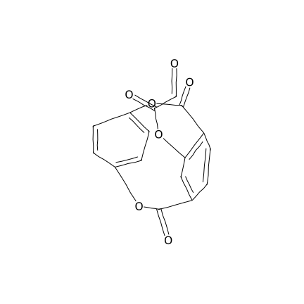 O=CC(=O)Oc1cc2ccc1C(=O)Oc1ccc(cc1)OC2=O